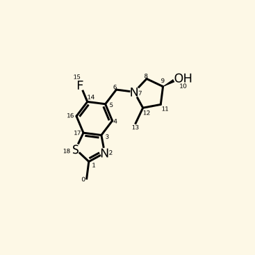 Cc1nc2cc(CN3C[C@@H](O)CC3C)c(F)cc2s1